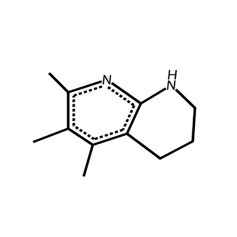 Cc1nc2c(c(C)c1C)CCCN2